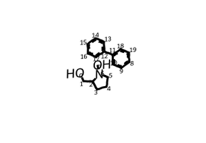 OCC1CCCN1O.c1ccc(-c2ccccc2)cc1